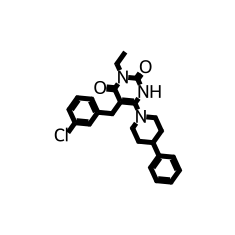 CCn1c(=O)[nH]c(N2CCC(c3ccccc3)CC2)c(Cc2cccc(Cl)c2)c1=O